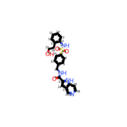 O=C(NCc1ccc(S(=O)(=O)Nc2ccccc2CCO)cc1)c1cc2cnccc2[nH]1